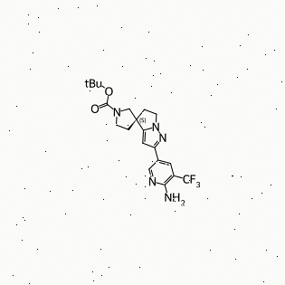 CC(C)(C)OC(=O)N1CC[C@]2(CCn3nc(-c4cnc(N)c(C(F)(F)F)c4)cc32)C1